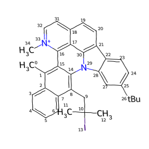 Cc1c2ccccc2c(CC(C)(C)I)c2c1c1c3c(ccc4c5ccc(C(C)(C)C)cc5n2c43)cc[n+]1C